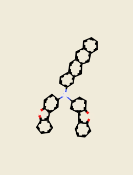 c1ccc2cc3cc4cc(N(c5ccc6oc7ccccc7c6c5)c5ccc6oc7ccccc7c6c5)ccc4cc3cc2c1